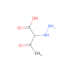 CC(=O)C(NN)C(=O)O